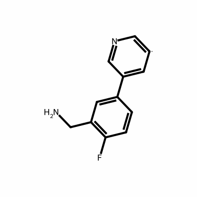 NCc1cc(-c2c[c]cnc2)ccc1F